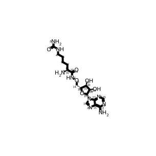 NC(=O)NCCCC[C@H](N)C(=O)NOC[C@H]1O[C@@H](n2cnc3c(N)ncnc32)[C@H](O)[C@@H]1O